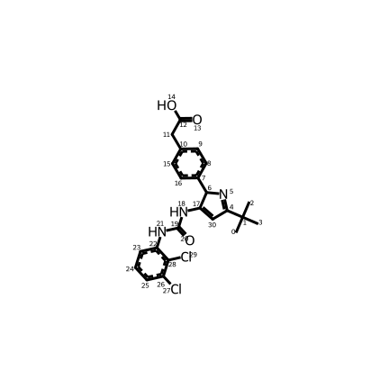 CC(C)(C)C1=NC(c2ccc(CC(=O)O)cc2)C(NC(=O)Nc2cccc(Cl)c2Cl)=C1